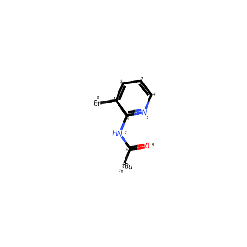 [CH2]Cc1cccnc1NC(=O)C(C)(C)C